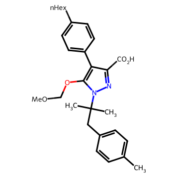 CCCCCCc1ccc(-c2c(C(=O)O)nn(C(C)(C)Cc3ccc(C)cc3)c2OCOC)cc1